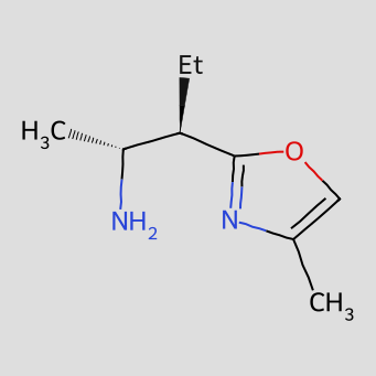 CC[C@@H](c1nc(C)co1)[C@@H](C)N